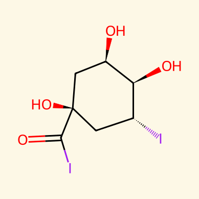 O=C(I)[C@]1(O)C[C@@H](O)[C@@H](O)[C@H](I)C1